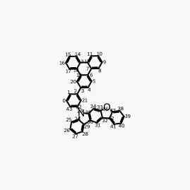 c1cc(-c2ccc3c4ccccc4c4ccccc4c3c2)cc(-n2c3ccccc3c3cc4c(cc32)oc2ccccc24)c1